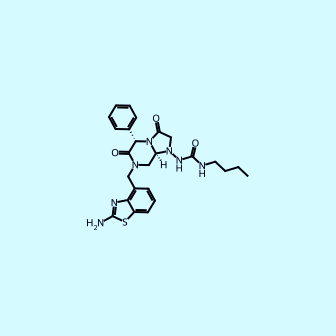 CCCCNC(=O)NN1CC(=O)N2[C@@H](c3ccccc3)C(=O)N(Cc3cccc4sc(N)nc34)C[C@H]12